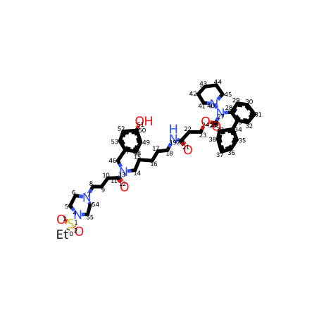 CCS(=O)(=O)N1CCN(CCCC(=O)N(CCCCCNC(=O)CCOC(=O)N(c2ccccc2-c2ccccc2)N2CC[CH]CC2)Cc2ccc(O)cc2)CC1